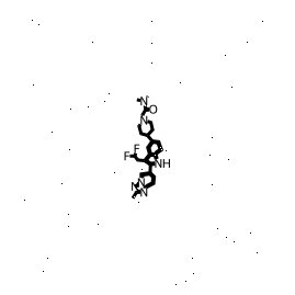 Cc1nc2ccc(-c3[nH]c4ccc(C5CCN(CC(=O)N(C)C)CC5)cc4c3CC(F)F)cn2n1